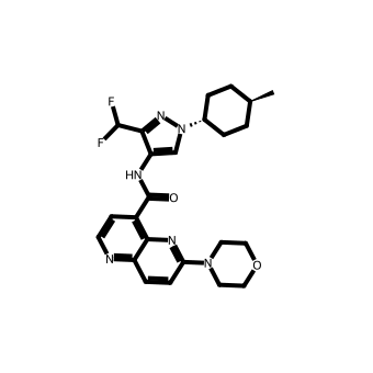 C[C@H]1CC[C@H](n2cc(NC(=O)c3ccnc4ccc(N5CCOCC5)nc34)c(C(F)F)n2)CC1